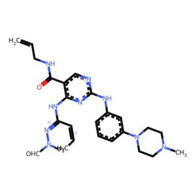 C=CCNC(=O)c1cnc(Nc2cccc(N3CCN(C)CC3)c2)nc1NC(/C=C\C)=N/N(C=O)C(C)C